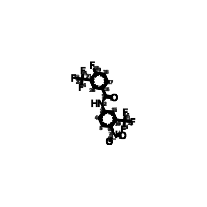 O=C(Nc1ccc([N+](=O)[O-])c(C(F)(F)F)c1)c1ccc(F)c(C(F)(F)F)c1